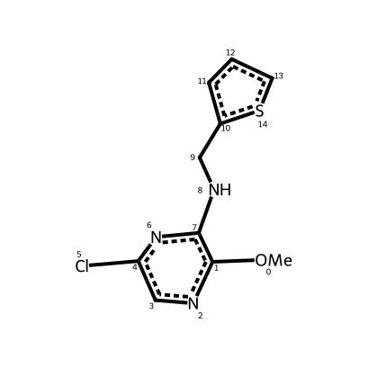 COc1ncc(Cl)nc1NCc1cccs1